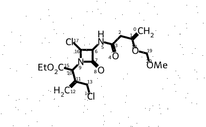 C=C(CC(=O)NC1C(=O)N(C(C(=C)CCl)C(=O)OCC)C1Cl)OCOC